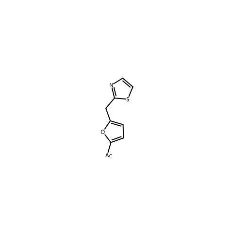 CC(=O)c1ccc(Cc2n[c]cs2)o1